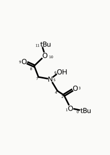 CC(C)(C)OC(=O)CN(O)CC(=O)OC(C)(C)C